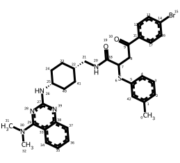 Cc1cccc(SC(CC(=O)c2ccc(Br)cc2)C(=O)NC[C@H]2CC[C@@H](Nc3nc(N(C)C)c4ccccc4n3)CC2)c1